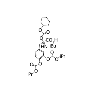 CCC(C)N[C@@](Cc1ccc(OC(=O)OC(C)C)c(OC(=O)OC(C)C)c1)(OC(=O)OC1CCCCC1)C(=O)O